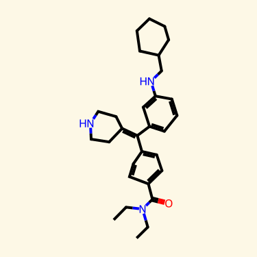 CCN(CC)C(=O)c1ccc(C(=C2CCNCC2)c2cccc(NCC3CCCCC3)c2)cc1